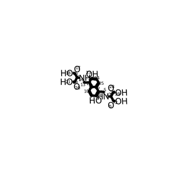 O=C(O)C(NCc1c(O)ccc2c(CNC(C(=O)O)C(=O)O)c(O)ccc12)C(=O)O